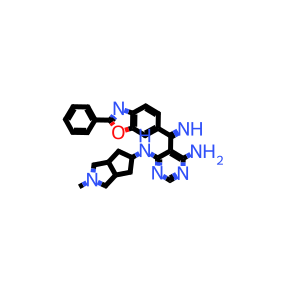 CN1CC2CC(Nc3ncnc(N)c3C(=N)c3ccc4nc(-c5ccccc5)oc4c3)CC2C1